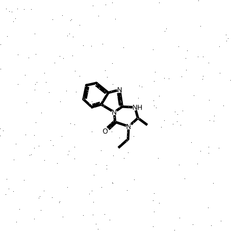 CCN1C(=O)n2c(nc3ccccc32)NC1C